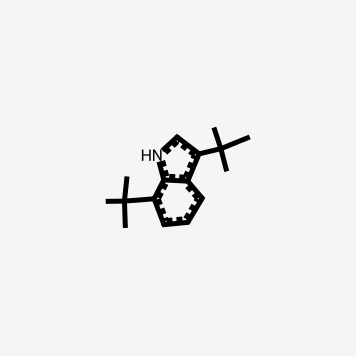 CC(C)(C)c1c[nH]c2c(C(C)(C)C)cccc12